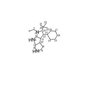 CCN1C2NC3CNCCC3C2C(C2CCCCC2)C1C(C)(C)C